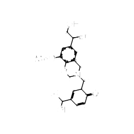 CCC(CO)c1cc2c(c(OC)c1)OCN(CC1C=C(C(O)C(C)C)C=CC1=O)C2